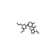 CCCCCC(CC(=O)OC)C(=O)N[C@H](C(=O)N1CCC[C@H]1C=O)C(C)C